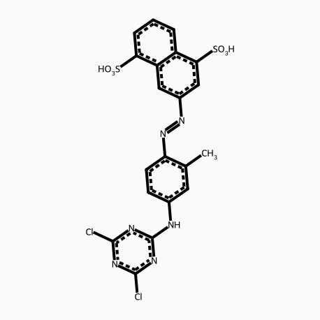 Cc1cc(Nc2nc(Cl)nc(Cl)n2)ccc1N=Nc1cc(S(=O)(=O)O)c2cccc(S(=O)(=O)O)c2c1